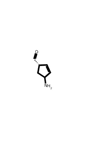 NC1C=C[C@@H](C=O)C1